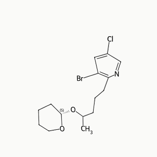 CC(CCCc1ncc(Cl)cc1Br)O[C@H]1CCCCO1